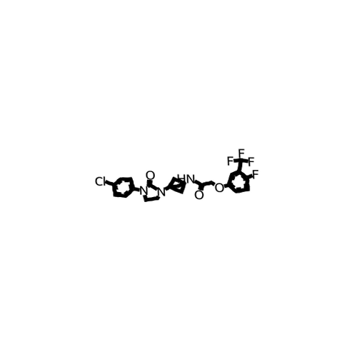 O=C(COc1ccc(F)c(C(F)(F)F)c1)NC12CC(N3CCN(c4ccc(Cl)cc4)C3=O)(C1)C2